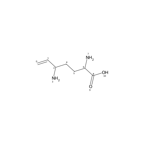 C=CC(N)CCC(N)C(=O)O